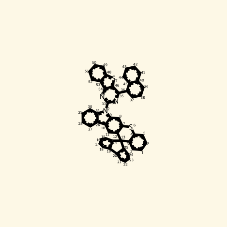 c1ccc2c(c1)Sc1cc3c(cc1C21c2ccccc2-c2ccccc21)c1ccccc1n3-c1nc(-c2cccc3ccccc23)c2sc3ccccc3c2n1